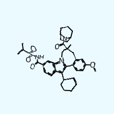 COc1ccc2c(c1)CC(C)(C(=O)N1C3CCCC1CC3)Cn1c-2c(C2CCCCC2)c2ccc(C(=O)NS(=O)(=O)C(C)C)cc21